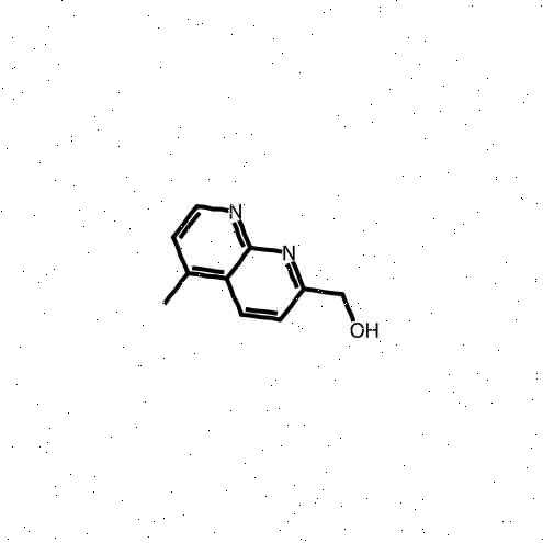 Cc1ccnc2nc(CO)ccc12